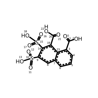 O=C(O)c1cccc2[c]c(S(=O)(=O)O)c(S(=O)(=O)O)c(C(=O)O)c12